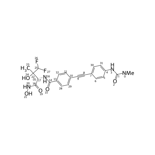 CNC(=O)Nc1ccc(C#Cc2ccc(C(=O)N[C@H](C(=O)NO)C(C)(O)C(F)F)cc2)cc1